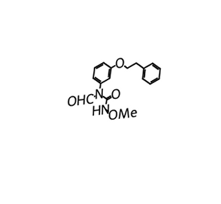 CONC(=O)N(C=O)c1cccc(OCCc2ccccc2)c1